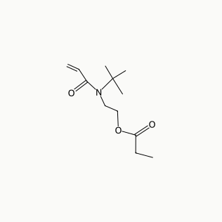 C=CC(=O)N(CCOC(=O)CC)C(C)(C)C